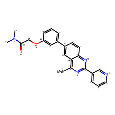 CNc1nc(-c2cccnc2)nc2ccc(-c3cccc(OCC(=O)N(C)C)c3)cc12